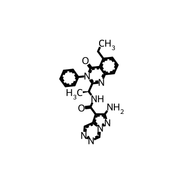 CCc1cccc2nc([C@H](C)NC(=O)c3c(N)nn4cnncc34)n(-c3ccccc3)c(=O)c12